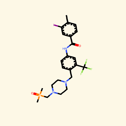 Cc1ccc(C(=O)Nc2ccc(CN3CCN(CP(C)(C)=O)CC3)c(C(F)(F)F)c2)cc1I